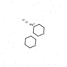 C1CCOCC1.C1CCOCC1.[Cl-].[Cl-].[Mg+2]